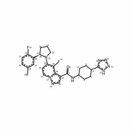 O=C(NC1CCC(c2nnn[nH]2)CC1)c1cnn2ccc(N3CCC[C@@H]3c3cc(F)ccc3F)c(F)c12